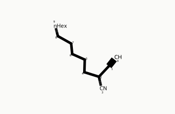 C#CC(C#N)CCCCCCCCCCC